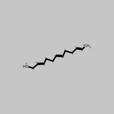 C/C=C/CC/C=C/CC/C=C/CO